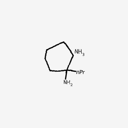 CCCC1(N)CCCCC1.N